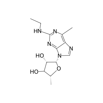 CCNc1nc(C)c2ncn([C@@H]3O[C@H](C)C(O)[C@@H]3O)c2n1